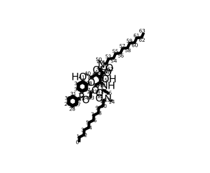 CCCCCCCCCCCC(=O)N(C)CC(=O)N[C@@H]1[C@@H](OCCOP(c2ccccc2)c2ccccc2)O[C@H](CO)[C@@H](O)[C@@]1(O)C(=O)CN(C)C(=O)CCCCCCCCCCC